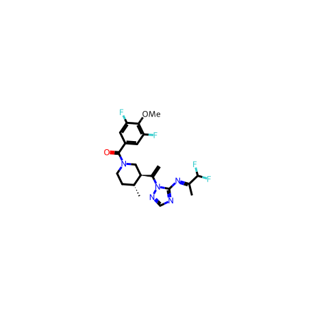 C=C([C@@H]1CN(C(=O)c2cc(F)c(OC)c(F)c2)CC[C@H]1C)n1ncnc1/N=C(\C)C(F)F